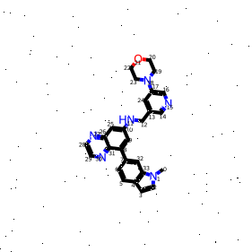 Cn1ccc2ccc(-c3cc(NCc4cncc(N5CCOCC5)c4)cc4nccnc34)cc21